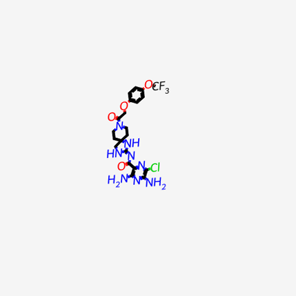 Nc1nc(N)c(C(=O)/N=C2\NCC3(CCN(C(=O)COc4ccc(OC(F)(F)F)cc4)CC3)N2)nc1Cl